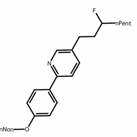 CCCCCCCCCOc1ccc(-c2ccc(CCC(F)CCCCC)cn2)cc1